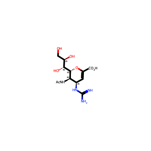 CC(=O)N[C@H]1[C@H]([C@H](O)[C@H](O)CO)OC(C(=O)O)=C[C@H]1NC(=N)N